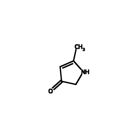 CC1=CC(=O)CN1